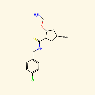 CC(=O)OC1CB(OCN)C(C(=S)NCc2ccc(Cl)cc2)C1